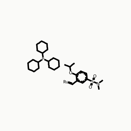 C1CCC(P(C2CCCCC2)C2CCCCC2)CC1.CC(C)Oc1ccc(S(=O)(=O)N(C)C)cc1[CH]=[Ru]